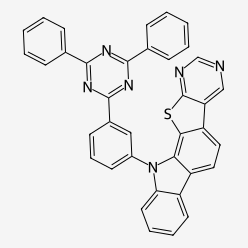 c1ccc(-c2nc(-c3ccccc3)nc(-c3cccc(-n4c5ccccc5c5ccc6c7cncnc7sc6c54)c3)n2)cc1